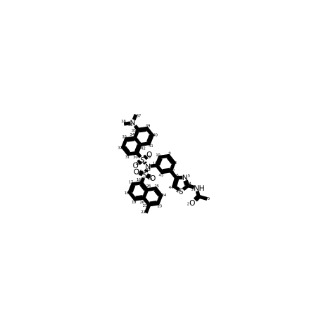 CC(=O)Nc1nc(-c2cccc(N(S(=O)(=O)c3cccc4c(C)cccc34)S(=O)(=O)c3cccc4c(N(C)C)cccc34)c2)cs1